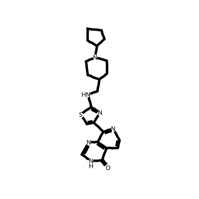 O=c1[nH]cnc2c(-c3csc(NCC4CCN(C5CCCC5)CC4)n3)nccc12